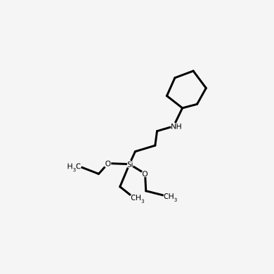 CCO[Si](CC)(CCCNC1CCCCC1)OCC